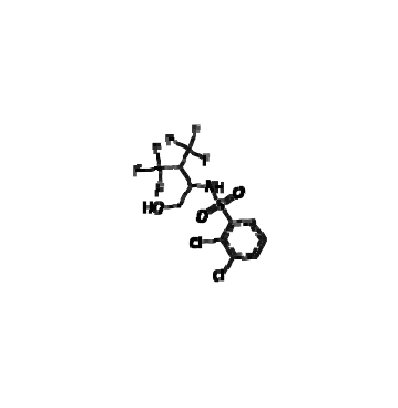 O=S(=O)(NC(CO)C(C(F)(F)F)C(F)(F)F)c1cccc(Cl)c1Cl